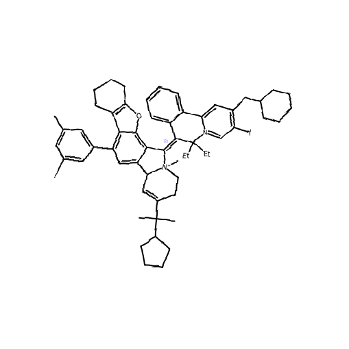 CCC1(CC)/C(=C2/c3c(cc(-c4cc(C)cc(C)c4)c4c5c(oc34)CCCC5)C3C=C(C(C)(C)C4CCCC4)CC[N+]23C)c2ccccc2-c2cc(CC3CCCCC3)c(I)c[n+]21